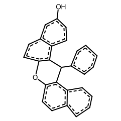 Oc1ccc2c3c(ccc2c1)Oc1ccc2ccccc2c1C3c1ccccc1